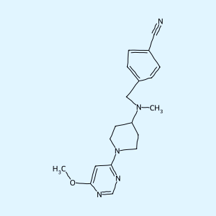 COc1cc(N2CCC(N(C)Cc3ccc(C#N)cc3)CC2)ncn1